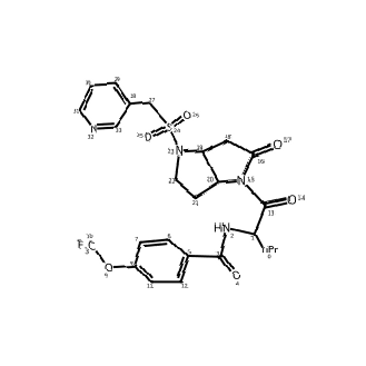 CCCC(NC(=O)c1ccc(OC(F)(F)F)cc1)C(=O)N1C(=O)CC2C1CCN2S(=O)(=O)Cc1cccnc1